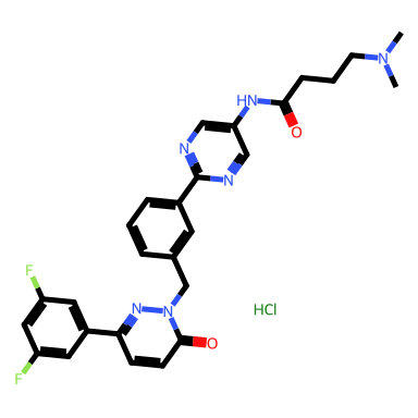 CN(C)CCCC(=O)Nc1cnc(-c2cccc(Cn3nc(-c4cc(F)cc(F)c4)ccc3=O)c2)nc1.Cl